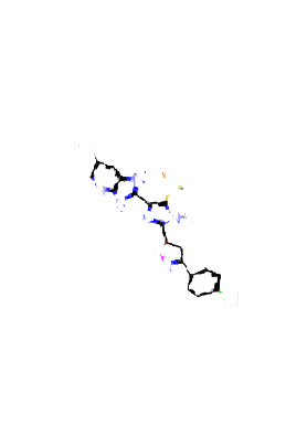 CC[S+]([O-])c1c(-c2nc3cc(C(F)(F)F)cnc3n2C)nc(C2CC(c3ccc(Cl)cc3)=NO2)n1C